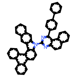 c1ccc(-c2ccc(-c3nc(-n4c5cc6ccccc6cc5c5c6c7ccccc7c7ccccc7c6ccc54)nc4ccc5ccccc5c34)cc2)cc1